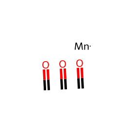 C=O.C=O.C=O.[Mn]